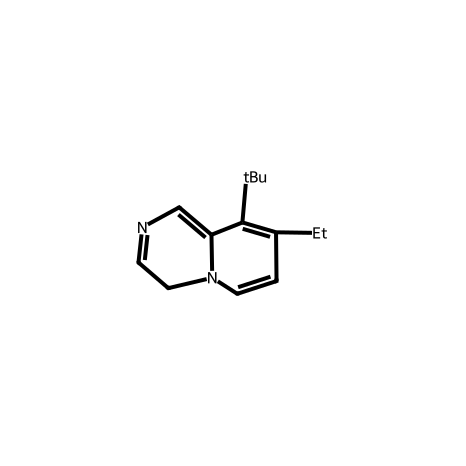 CCC1=C(C(C)(C)C)C2=CN=CCN2C=C1